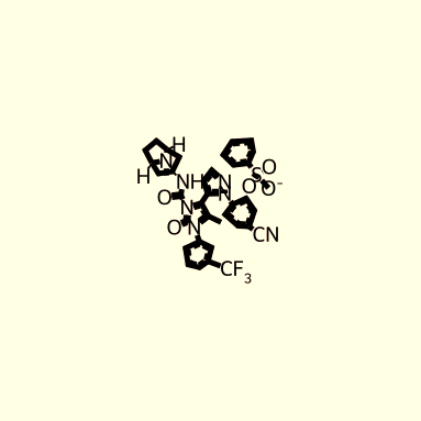 Cc1c(-c2ccnn2-c2ccc(C#N)cc2)n(C(=O)N[C@@H]2C[C@H]3CC[C@@H](C2)[N+]3(C)C)c(=O)n1-c1cccc(C(F)(F)F)c1.O=S(=O)([O-])c1ccccc1